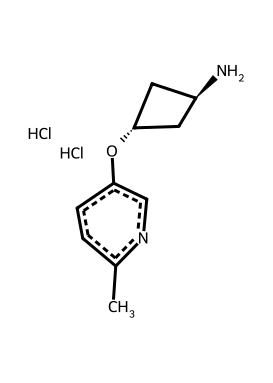 Cc1ccc(O[C@H]2C[C@H](N)C2)cn1.Cl.Cl